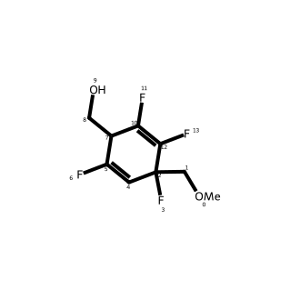 COCC1(F)C=C(F)C(CO)C(F)=C1F